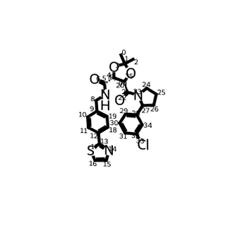 CC1(C)O[C@@H](C(=O)NCc2ccc(-c3nccs3)cc2)[C@H](C(=O)N2CCCC2c2cccc(Cl)c2)O1